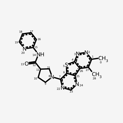 Cc1nnc2sc3c(N4CCC(C(=O)Nc5ccccn5)C4)ncnc3c2c1C